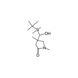 CN1CC(C)(C(O)[Si](C)(C)C(C)(C)C)CC1=O